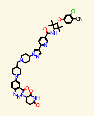 CC1(C)[C@H](NC(=O)c2ccc(-c3cnn(C4CCN(CC5CCN(c6ccc7nnn(C8CCC(=O)NC8=O)c(=O)c7c6)CC5)CC4)c3)nc2)C(C)(C)[C@H]1Oc1ccc(C#N)c(Cl)c1